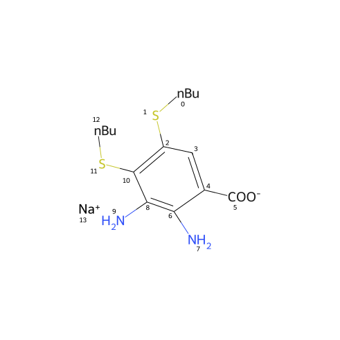 CCCCSc1cc(C(=O)[O-])c(N)c(N)c1SCCCC.[Na+]